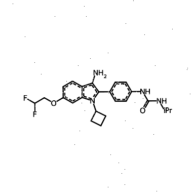 CC(C)NC(=O)Nc1ccc(-c2c(N)c3ccc(OCC(F)F)cc3n2C2CCC2)cc1